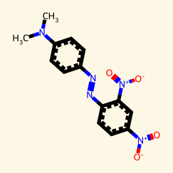 CN(C)c1ccc(/N=N/c2ccc([N+](=O)[O-])cc2[N+](=O)[O-])cc1